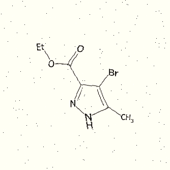 CCOC(=O)c1n[nH]c(C)c1Br